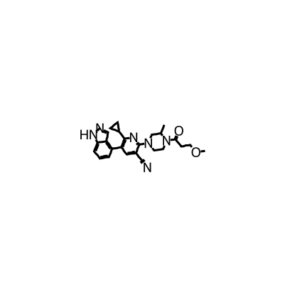 COCCC(=O)N1CCN(c2nc(C3CC3)c(-c3cccc4[nH]ncc34)cc2C#N)CC1C